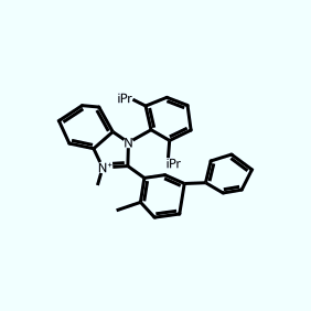 Cc1ccc(-c2ccccc2)cc1-c1n(-c2c(C(C)C)cccc2C(C)C)c2ccccc2[n+]1C